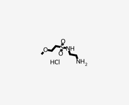 COCCS(=O)(=O)NCCN.Cl